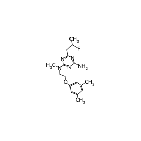 Cc1cc(C)cc(OCCN(C)c2nc(N)nc(CC(C)F)n2)c1